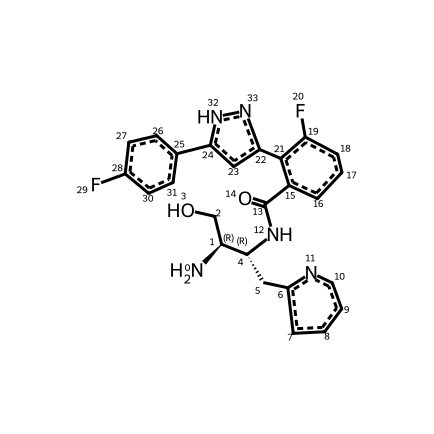 N[C@@H](CO)[C@@H](Cc1ccccn1)NC(=O)c1cccc(F)c1-c1cc(-c2ccc(F)cc2)[nH]n1